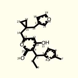 CCC(c1ccc(C)s1)c1c(O)cc(CC2(Cc3ccoc3)CC2)oc1=O